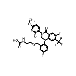 COc1ccc(N2CN(c3ccc(F)cc3COCCNC(=O)O)c3cc(C(F)(F)F)c(F)cc3C2=O)c(Br)n1